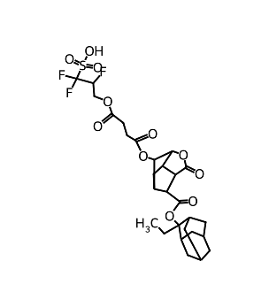 CCC1(OC(=O)C2C3CC4C(OC(=O)C42)C3OC(=O)CCC(=O)OCC(F)C(F)(F)S(=O)(=O)O)C2CC3CC(C2)CC1C3